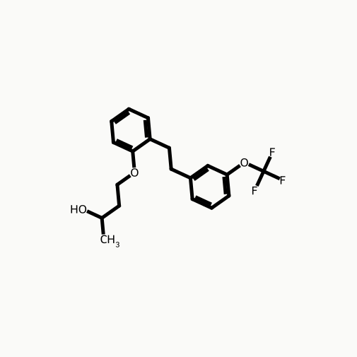 CC(O)CCOc1ccccc1CCc1cccc(OC(F)(F)F)c1